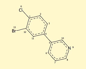 Clc1ccc(-c2cccnc2)cc1Br